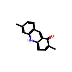 Cc1ccc2cc3c(=O)c(C)ccc-3[nH]c2c1